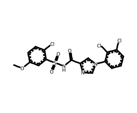 COc1ccc(Cl)c(S(=O)(=O)NC(=O)c2cn(-c3cccc(Cl)c3Cl)cn2)c1